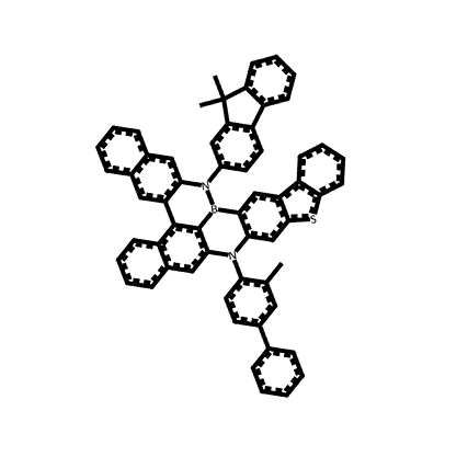 Cc1cc(-c2ccccc2)ccc1N1c2cc3sc4ccccc4c3cc2B2c3c1cc1ccccc1c3-c1cc3ccccc3cc1N2c1ccc2c(c1)C(C)(C)c1ccccc1-2